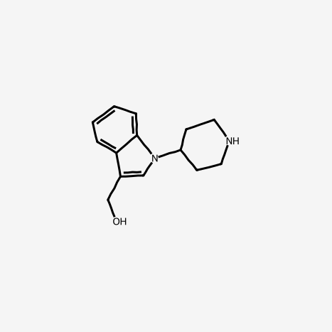 OCc1cn(C2CCNCC2)c2ccccc12